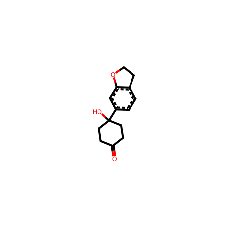 O=C1CCC(O)(c2ccc3c(c2)OCC3)CC1